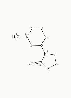 CN1CCCC(N2CCCC2=O)C1